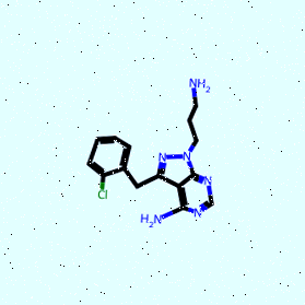 NCCCn1nc(Cc2ccccc2Cl)c2c(N)ncnc21